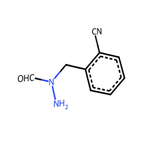 N#Cc1ccccc1CN(N)C=O